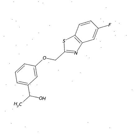 CC(O)c1cccc(OCc2nc3cc(F)ccc3s2)c1